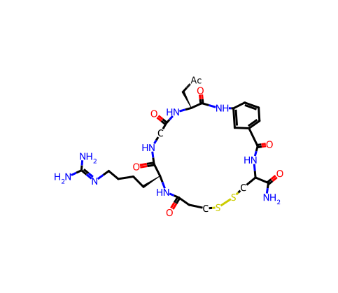 CC(=O)C[C@@H]1NC(=O)CNC(=O)[C@H](CCCCN=C(N)N)NC(=O)CCSSCC(C(N)=O)NC(=O)c2cccc(c2)NC1=O